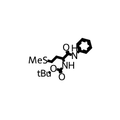 CSCCC(NC(=O)OC(C)(C)C)C(=O)Nc1ccccc1